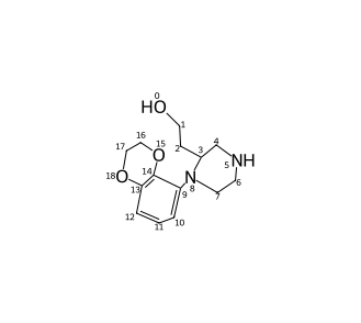 OCCC1CNCCN1c1cccc2c1OCCO2